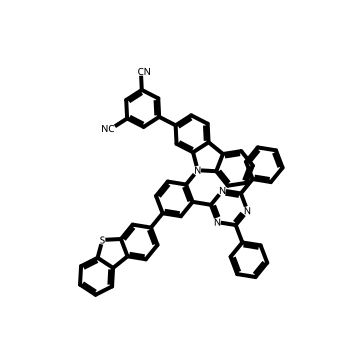 N#Cc1cc(C#N)cc(-c2ccc3c4ccccc4n(-c4ccc(-c5ccc6c(c5)sc5ccccc56)cc4-c4nc(-c5ccccc5)nc(-c5ccccc5)n4)c3c2)c1